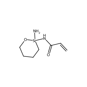 C=CC(=O)N[Si]1(N)CCCCO1